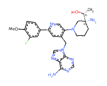 COc1ccc(-c2cc(Cn3cnc4c(N)ncnc43)c(N3CCC[C@](N)([C@@H](C)O)C3)cn2)cc1F